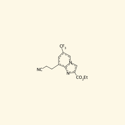 CCOC(=O)c1cn2cc(C(F)(F)F)cc(CCC#N)c2n1